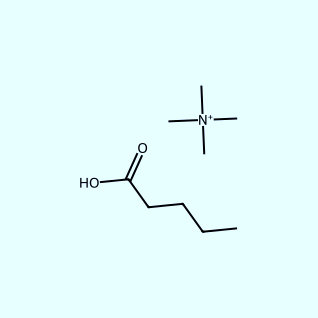 CCCCC(=O)O.C[N+](C)(C)C